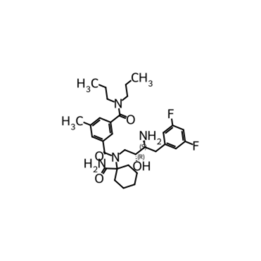 CCCN(CCC)C(=O)c1cc(C)cc(C(=O)N(C[C@@H](O)[C@@H](N)Cc2cc(F)cc(F)c2)C2(C(N)=O)CCCCC2)c1